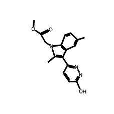 COC(=O)Cn1c(C)c(-c2ccc(O)nn2)c2cc(C)ccc21